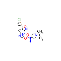 CC(C)N1CCC(NC(=O)Oc2cnc(C3CC3)n2Cc2cc(-c3ccc(Cl)s3)on2)CC1